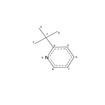 CC(C)(C)c1[c]cccn1